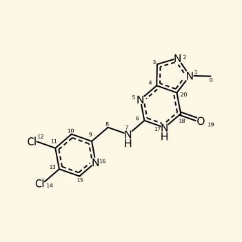 Cn1ncc2nc(NCc3cc(Cl)c(Cl)cn3)[nH]c(=O)c21